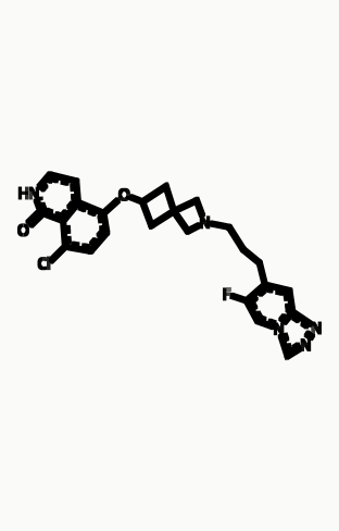 O=c1[nH]ccc2c(OC3CC4(C3)CN(CCCc3cc5nncn5cc3F)C4)ccc(Cl)c12